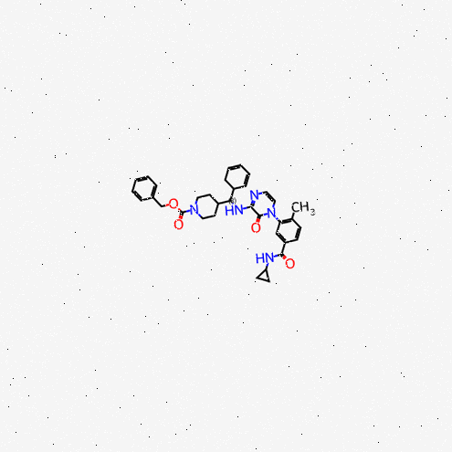 Cc1ccc(C(=O)NC2CC2)cc1-n1ccnc(N[C@@H](C2C=CC=CC2)C2CCN(C(=O)OCc3ccccc3)CC2)c1=O